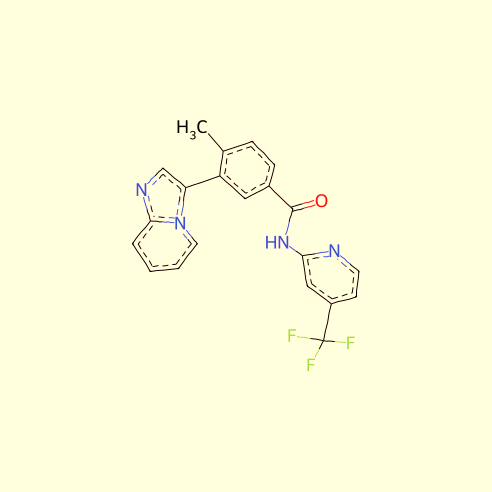 Cc1ccc(C(=O)Nc2cc(C(F)(F)F)ccn2)cc1-c1cnc2ccccn12